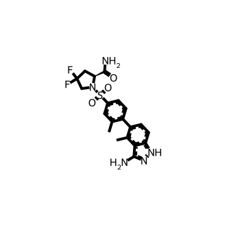 Cc1cc(S(=O)(=O)N2CC(F)(F)C[C@H]2C(N)=O)ccc1-c1ccc2[nH]nc(N)c2c1C